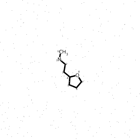 C[N]CCC1CCCO1